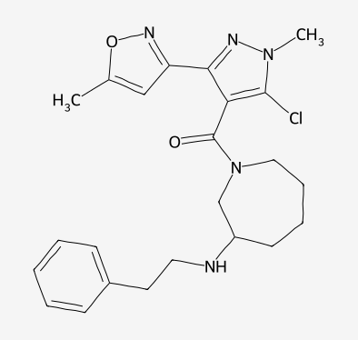 Cc1cc(-c2nn(C)c(Cl)c2C(=O)N2CCCCC(NCCc3ccccc3)C2)no1